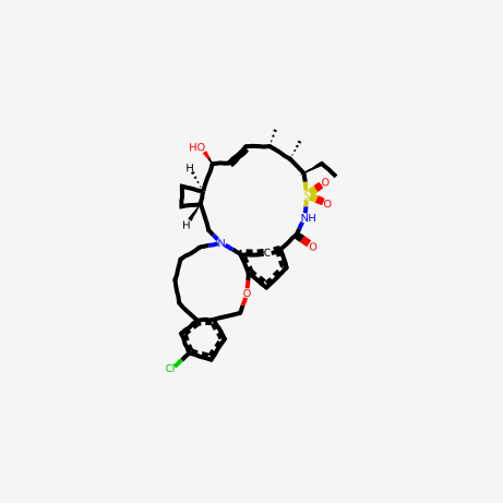 CC[C@@H]1[C@@H](C)[C@@H](C)/C=C/[C@H](O)[C@@H]2CC[C@H]2CN2CCCCc3cc(Cl)ccc3COc3ccc(cc32)C(=O)NS1(=O)=O